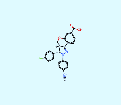 [C-]#[N+]c1ccc(N2N=C3c4ccc(C(=O)O)cc4OC[C@H]3[C@H]2c2ccc(F)cc2)cc1